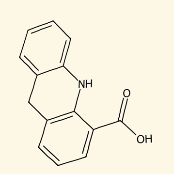 O=C(O)c1cccc2c1Nc1ccccc1C2